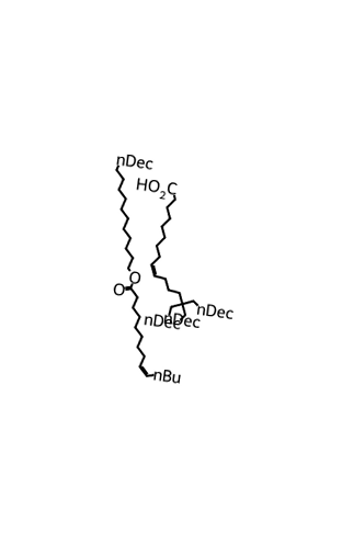 CCCC/C=C\CCCCCCCC(=O)OCCCCCCCCCCCCCCCCCCCCC.CCCCCCCCCCCC(CCC/C=C\CCCCCCCC(=O)O)(CCCCCCCCCCC)CCCCCCCCCCC